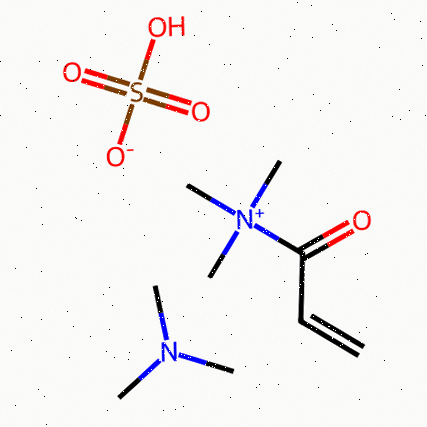 C=CC(=O)[N+](C)(C)C.CN(C)C.O=S(=O)([O-])O